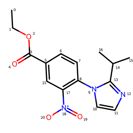 CCOC(=O)c1ccc(-n2ccnc2C(C)C)c([N+](=O)[O-])c1